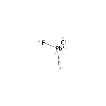 [Cl-].[F][Pb+][F]